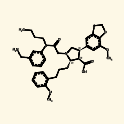 CCCCN(C(=O)CN1C[C@H](c2cc(OC)c3c(c2)OCO3)[C@@H](C(=O)O)[C@@H]1CCCc1ccccc1OC)c1cccc(CN)c1